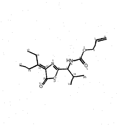 C=CCOC(=O)NC(C1=NC(=C(CC)CC)C(=O)O1)C(C)C